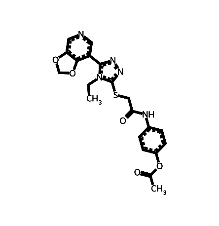 CCn1c(SCC(=O)Nc2ccc(OC(C)=O)cc2)nnc1-c1cncc2c1OCO2